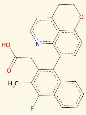 Cc1c(CC(=O)O)c(-c2ccc3c4c(ccnc24)CCO3)c2ccccc2c1F